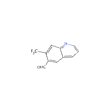 O=Cc1cc2cccnc2cc1C(F)(F)F